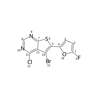 Fc1ccc(-c2sc3ncnc(Cl)c3c2Br)o1